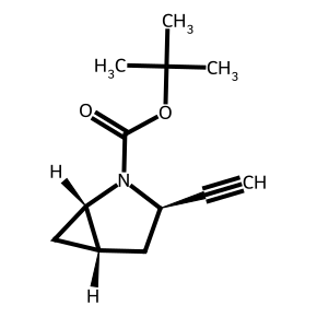 C#C[C@H]1C[C@@H]2C[C@@H]2N1C(=O)OC(C)(C)C